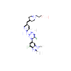 C=N/C=C(F)\C(=N/CNc1ccc(C=C2CCN(CCCO)CC2)cn1)c1cc(F)c2nc(C)n(C(C)C)c2c1